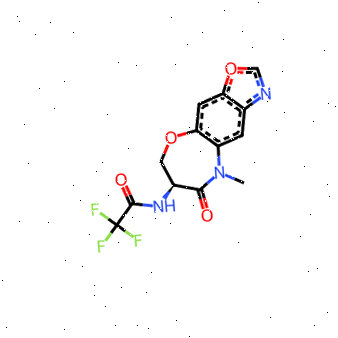 CN1C(=O)[C@@H](NC(=O)C(F)(F)F)COc2cc3ocnc3cc21